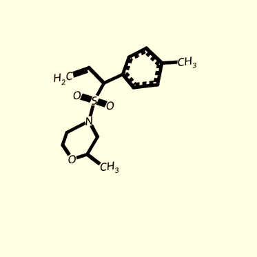 C=CC(c1ccc(C)cc1)S(=O)(=O)N1CCOC(C)C1